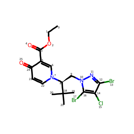 CCOC(=O)c1cn([C@@H](Cn2nc(Br)c(Cl)c2Br)C(C)(C)C)ccc1=O